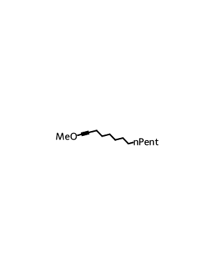 [CH2]OC#CCCCCCCCCCCC